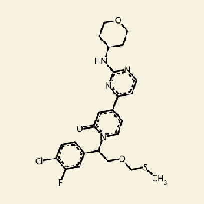 CSCOCC(c1ccc(Cl)c(F)c1)n1ccc(-c2ccnc(NC3CCOCC3)n2)cc1=O